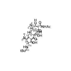 CC(=O)NC(=O)C1=C(O)[C@@H](N(C)C)[C@@H]2C[C@@H]3Cc4c(N(C)C)cc(CNCC(C)(C)C)c(O)c4C(=O)C3=C(O)[C@]2(O)C1=O